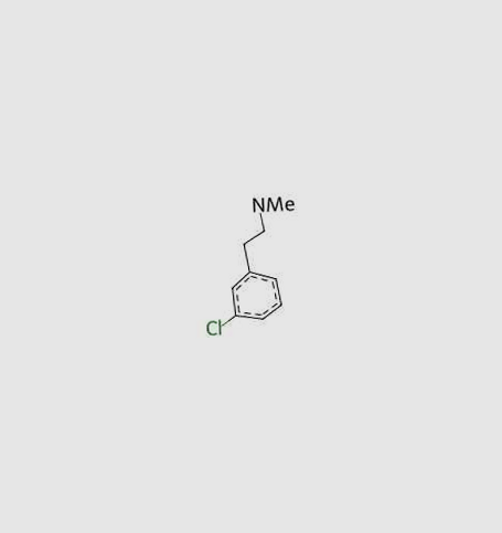 [CH2]NCCc1cccc(Cl)c1